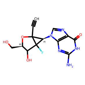 C#CC12O[C@H](CO)C(O)C1(F)[C@@H]2n1cnc2c(=O)[nH]c(N)nc21